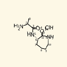 CC(N)C(=O)N[C@H]1CCCCNC1=O.Cl